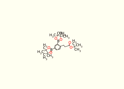 CC(C)(C)OC(=O)CCc1ccc(B2OC(C)(C)C(C)(C)O2)cc1B1OC(C)(C)C(C)(C)O1